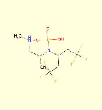 CNCC(C)N(C(CC(F)(F)F)CC(F)(F)F)P(=O)(O)O